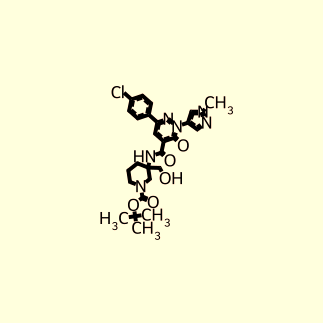 Cn1cc(-n2nc(-c3ccc(Cl)cc3)cc(C(=O)NC3(CO)CCCN(C(=O)OC(C)(C)C)C3)c2=O)cn1